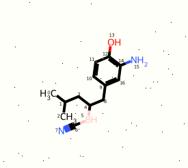 CC(C)CC(BC#N)Cc1ccc(O)c(N)c1